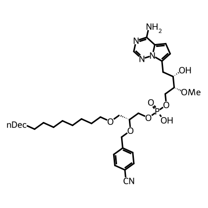 CCCCCCCCCCCCCCCCCCOC[C@H](COP(=O)(O)OC[C@@H](OC)[C@@H](O)Cc1ccc2c(N)ncnn12)OCc1ccc(C#N)cc1